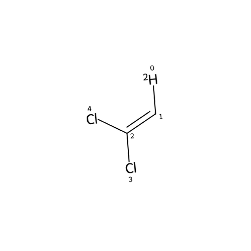 [2H]C=C(Cl)Cl